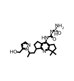 CC(CC1CCc2c1nc1c(c2NC(=O)/N=[SH](/N)=O)CCC1(C)C)n1nccc1CO